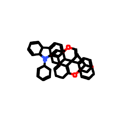 C1=CCC2OC3=C(C(c4cccc5c4N(C4C=CC=CC4)C4C=CC=CC54)=CCC3)C3(C2=C1)C1=C(CCC=C1C1CC=CCC1)OC1C=CCCC13